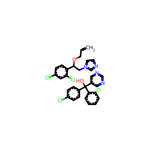 C=CCOC(Cn1ccnc1)c1ccc(Cl)cc1Cl.OC(c1ccc(Cl)cc1)(c1cncnc1)c1ccccc1Cl